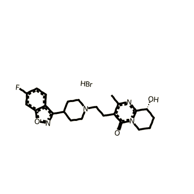 Br.Cc1nc2n(c(=O)c1CCN1CCC(c3noc4cc(F)ccc34)CC1)CCC[C@H]2O